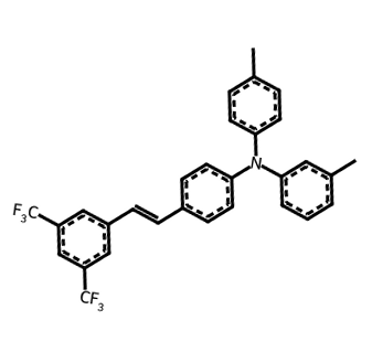 Cc1ccc(N(c2ccc(C=Cc3cc(C(F)(F)F)cc(C(F)(F)F)c3)cc2)c2cccc(C)c2)cc1